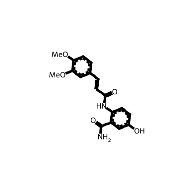 COc1ccc(C=CC(=O)Nc2ccc(O)cc2C(N)=O)cc1OC